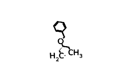 [CH2]C[C@@H](CC)OCc1ccccc1